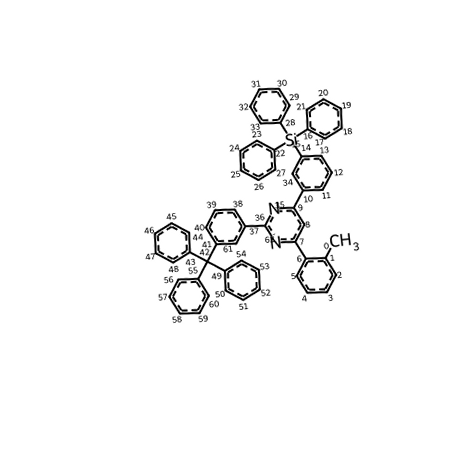 Cc1ccccc1-c1cc(-c2cccc([Si](c3ccccc3)(c3ccccc3)c3ccccc3)c2)nc(-c2cccc(C(c3ccccc3)(c3ccccc3)c3ccccc3)c2)n1